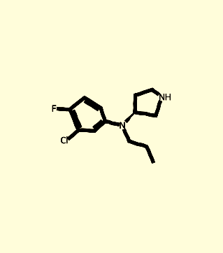 CCCN(c1ccc(F)c(Cl)c1)[C@H]1CCNC1